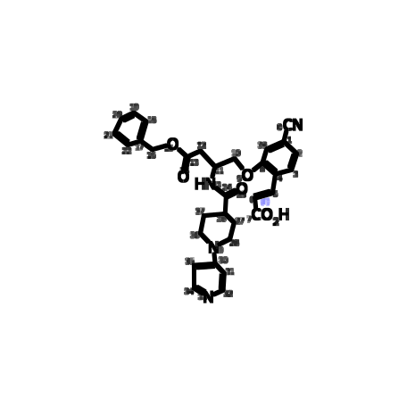 N#Cc1ccc(/C=C/C(=O)O)c(OCC(CC(=O)OCc2ccccc2)NC(=O)C2CCN(c3ccncc3)CC2)c1